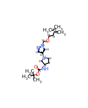 CC(C)(C)OC(=O)N[C@@H]1CCN(c2cnn(COCC[Si](C)(C)C)c2)C1